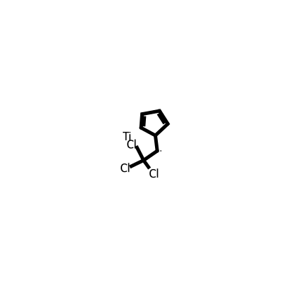 ClC(Cl)(Cl)[CH]C1C=CC=C1.[Ti]